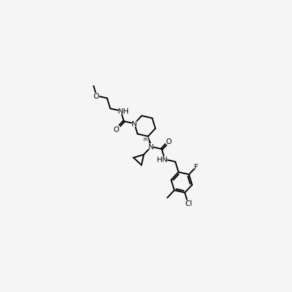 COCCNC(=O)N1CCC[C@@H](N(C(=O)NCc2cc(C)c(Cl)cc2F)C2CC2)C1